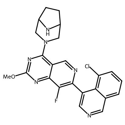 COc1nc(N2CC3CCC(C2)N3)c2cnc(-c3cncc4cccc(Cl)c34)c(F)c2n1